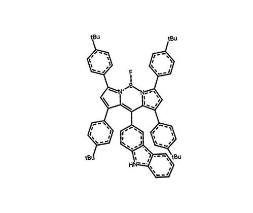 CC(C)(C)c1ccc(C2=CC(c3ccc(C(C)(C)C)cc3)=[N+]3B(F)n4c(-c5ccc(C(C)(C)C)cc5)cc(-c5ccc(C(C)(C)C)cc5)c4C(c4ccc5[nH]c6ccccc6c5c4)=C23)cc1